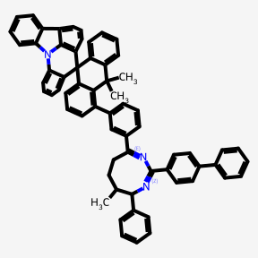 CC1CC/C(c2cccc(-c3cccc4c3C(C)(C)c3ccccc3C43c4ccccc4-n4c5ccccc5c5cccc3c54)c2)=N\C(c2ccc(-c3ccccc3)cc2)=N/C1c1ccccc1